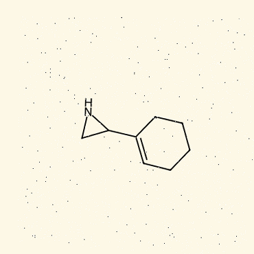 C1=C(C2CN2)CCCC1